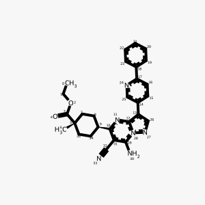 CCOC(=O)[C@]1(C)CC[C@@H](c2nc3c(-c4ccc(-c5ccccc5)nc4)cnn3c(N)c2C#N)CC1